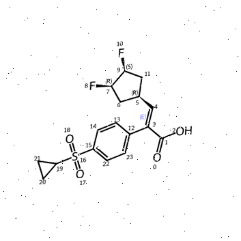 O=C(O)/C(=C/[C@H]1C[C@@H](F)[C@@H](F)C1)c1ccc(S(=O)(=O)C2CC2)cc1